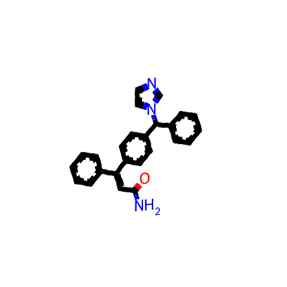 NC(=O)C=C(c1ccccc1)c1ccc(C(c2ccccc2)n2ccnc2)cc1